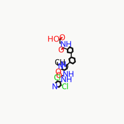 CCn1nc(-c2cccc(-c3cccc(C(=O)NCC(=O)O)c3)c2)cc(NC(=O)Nc2c(Cl)cncc2Cl)c1=O